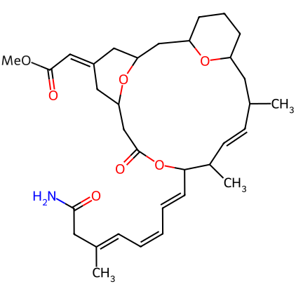 COC(=O)/C=C1\CC2CC(=O)OC(/C=C/C=C\C=C(/C)CC(N)=O)C(C)/C=C/C(C)CC3CCCC(CC(C1)O2)O3